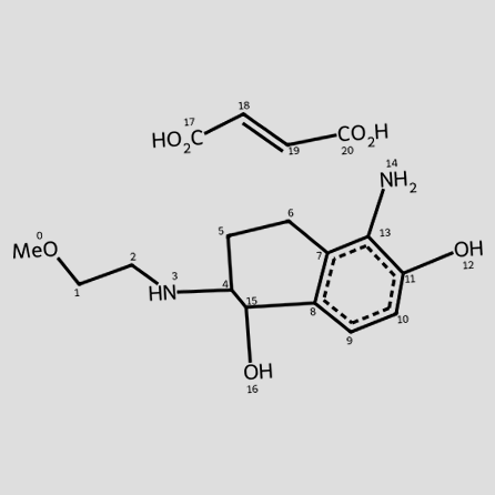 COCCNC1CCc2c(ccc(O)c2N)C1O.O=C(O)/C=C/C(=O)O